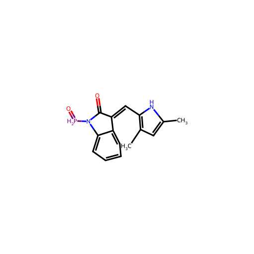 Cc1cc(C)c(C=C2C(=O)N([PH2]=O)c3ccccc32)[nH]1